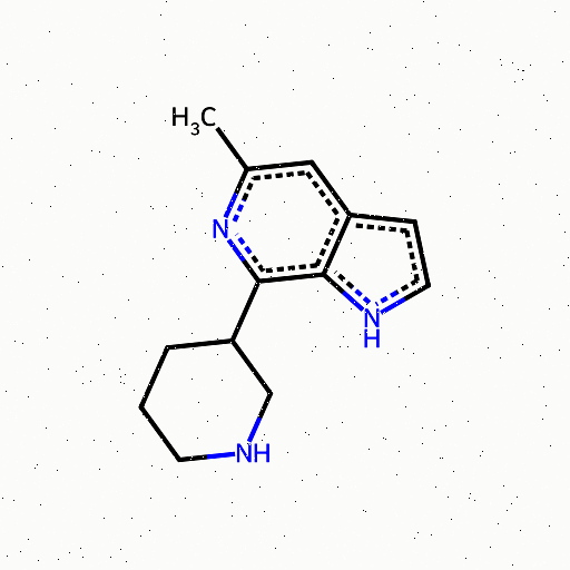 Cc1cc2cc[nH]c2c(C2CCCNC2)n1